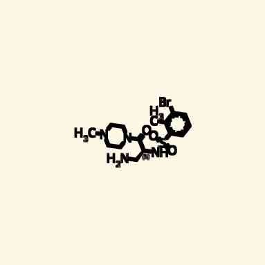 Cc1c(Br)cccc1S(=O)(=O)N[C@@H](CN)C(=O)N1CCN(C)CC1